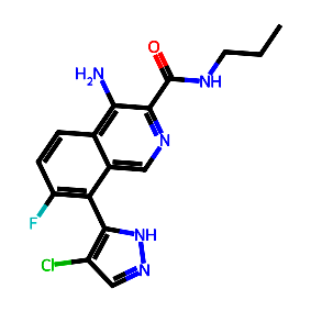 CCCNC(=O)c1ncc2c(-c3[nH]ncc3Cl)c(F)ccc2c1N